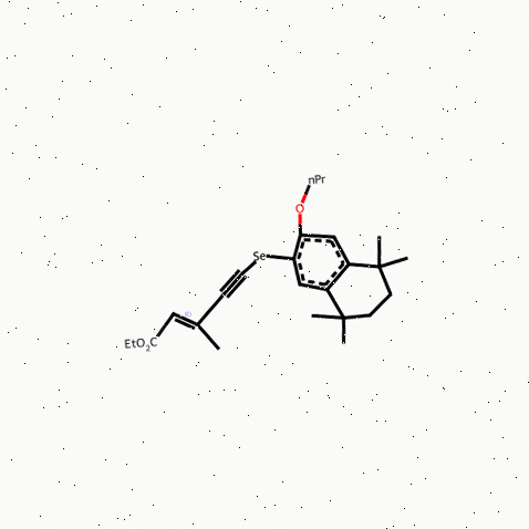 CCCOc1cc2c(cc1[Se]C#C/C(C)=C/C(=O)OCC)C(C)(C)CCC2(C)C